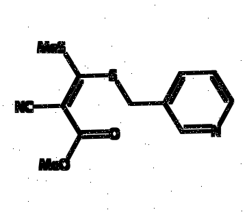 COC(=O)C(C#N)=C(SC)SCc1cccnc1